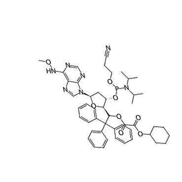 CONc1ncnc2c1ncn2[C@H]1C[C@H](OP(OCCC#N)N(C(C)C)C(C)C)[C@@H](C(OC(=O)C(=O)OC2CCCCC2)C(c2ccccc2)(c2ccccc2)c2ccccc2)O1